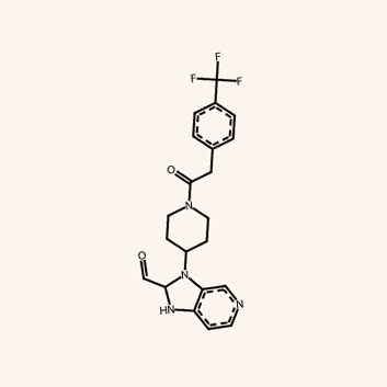 O=CC1Nc2ccncc2N1C1CCN(C(=O)Cc2ccc(C(F)(F)F)cc2)CC1